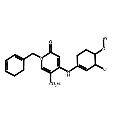 CCOC(=O)c1cn(CC2=CC=CCC2)c(=O)cc1NC1=CC(Cl)C(OC(C)C)CC1